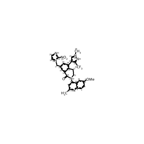 COc1ccc2nc(C)cc(N3CCc4c(cc(Cn5ccnc5[N+](=O)[O-])cc4-c4cn(C)nc4C(F)(F)F)C3=O)c2c1